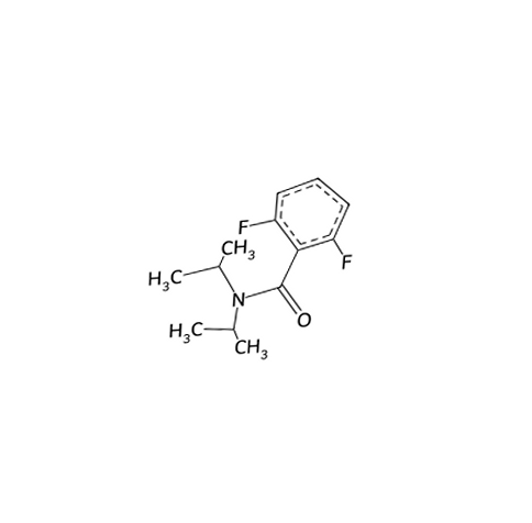 CC(C)N(C(=O)c1c(F)cccc1F)C(C)C